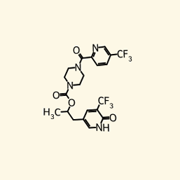 CC(Cc1c[nH]c(=O)c(C(F)(F)F)c1)OC(=O)N1CCN(C(=O)c2ccc(C(F)(F)F)cn2)CC1